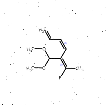 C=C/C=C\C(=C(/C)F)C(OC)OC